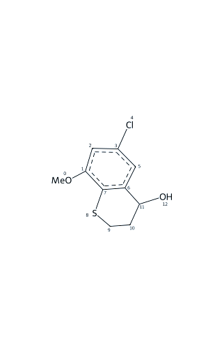 COc1cc(Cl)cc2c1SCCC2O